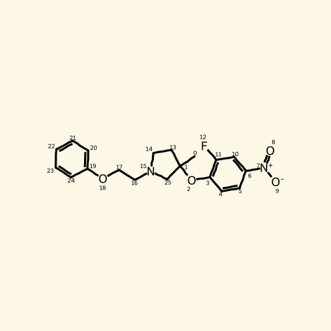 CC1(Oc2ccc([N+](=O)[O-])cc2F)CCN(CCOc2ccccc2)C1